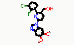 COc1cc2ncn(-c3ccc(CO)c(-c4cccc(Cl)c4F)n3)c2cc1OC